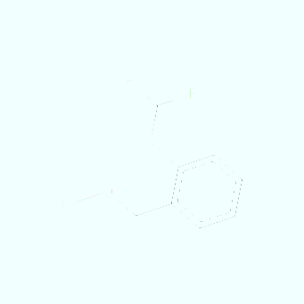 FC(F)Sc1ccccc1COCl